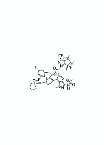 C[C@@H]1c2c(C(F)(F)F)nn(CC(=O)N[C@@H](Cc3cc(F)cc(F)c3)c3nc(C#CC4(O)CCCC4)ccc3-c3cccc4c(NS(C)(=O)=O)nn(C)c34)c2C(F)(F)[C@@H]1C